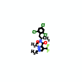 CON(C(=O)c1nn(C)cc1C(F)F)[C@@H](C)Cc1c(Cl)cc(Cl)cc1Cl